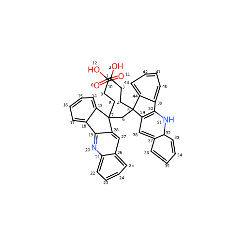 O=C(O)CCC1(CC2(CCC(=O)O)c3ccccc3-c3nc4ccccc4cc32)C2=C(NC3C=CC=CC3=C2)c2ccccc21